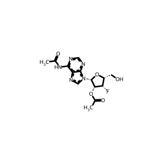 CC(=O)Nc1ncnc2c1ncn2[C@@H]1O[C@H](CO)[C@H](F)[C@@H]1OC(C)=O